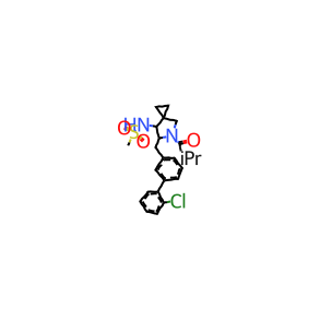 CC(C)C(=O)N1CC2(CC2)C(NS(C)(=O)=O)C1Cc1cccc(-c2ccccc2Cl)c1